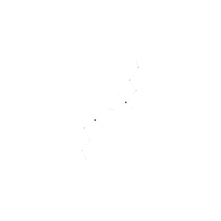 CCCCC(C)(C)OOC(C)(C)CCCC